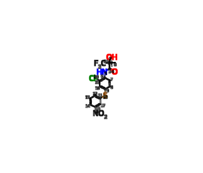 C[C@@](O)(C(=O)Nc1ccc(Sc2cccc([N+](=O)[O-])c2)cc1Cl)C(F)(F)F